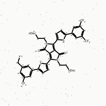 CCCCCCCCCCCCN1C(=O)C2=C(c3ccc(-c4cc(C(F)(F)F)cc(C(F)(F)F)c4)s3)N(CCCCCCCCCCCC)C(=O)C2=C1c1ccc(-c2cc(CF)cc(C(F)(F)F)c2)s1